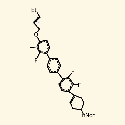 CC/C=C/COc1ccc(-c2ccc(-c3ccc(C4=CCC(CCCCCCCCC)CC4)c(F)c3F)cc2)c(F)c1F